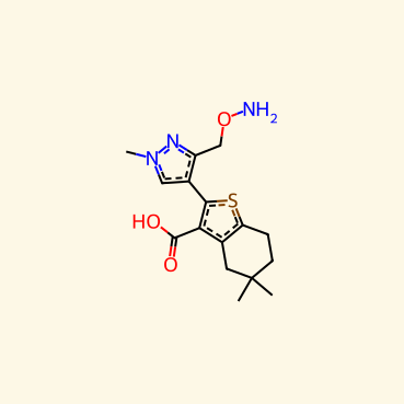 Cn1cc(-c2sc3c(c2C(=O)O)CC(C)(C)CC3)c(CON)n1